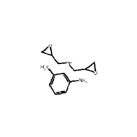 C(NCC1CO1)C1CO1.Nc1cccc(N)c1